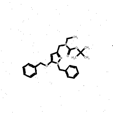 CCN(Cc1cc(OCc2ccccc2)n(Cc2ccccc2)n1)C(=O)OC(C)(C)C